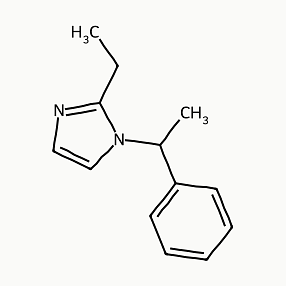 CCc1nccn1C(C)c1ccccc1